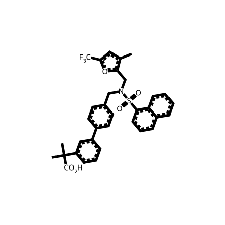 Cc1cc(C(F)(F)F)oc1CN(Cc1ccc(-c2cccc(C(C)(C)C(=O)O)c2)cc1)S(=O)(=O)c1cccc2ccccc12